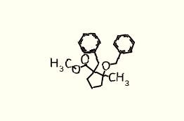 COC(=O)C1(Cc2ccccc2)CCCC1(C)OCc1ccccc1